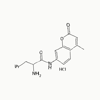 Cc1cc(=O)oc2cc(NC(=O)C(N)CC(C)C)ccc12.Cl